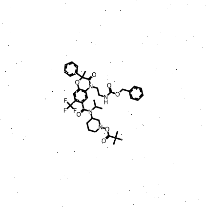 CC(C)N(C(=O)c1cc2c(cc1C(F)(F)F)OC(C)(c1ccccc1)C(=O)N2CCNC(=O)OCc1ccccc1)C1CCCN(OC(=O)C(C)(C)C)C1